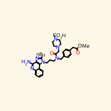 CCCCc1nc2c(N)nc3ccccc3c2n1CCCN(Cc1ccc(CC(=O)OC)cc1)C(=O)CN1CCN(C(=O)O)CC1